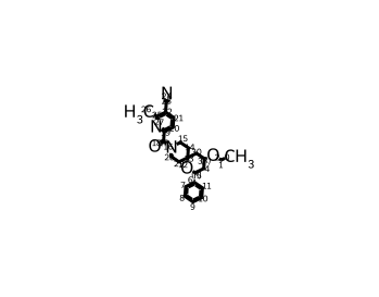 CCO[C@@H]1C[C@H](c2ccccc2)OC2(CCN(C(=O)c3ccc(C#N)c(C)n3)CC2)C1